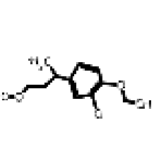 [CH2]C(CCOC)c1ccc(OCC)c(Cl)c1